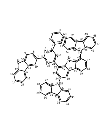 c1ccc(-c2nc(-c3ccc4sc5ccccc5c4c3)nc(-c3cc(-n4c5ccccc5c5ccccc54)cc4c3sc3c(-n5c6ccccc6c6ccccc65)cccc34)n2)cc1